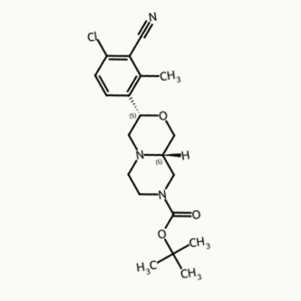 Cc1c([C@H]2CN3CCN(C(=O)OC(C)(C)C)C[C@H]3CO2)ccc(Cl)c1C#N